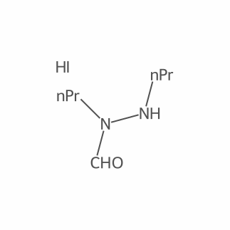 CCCNN(C=O)CCC.I